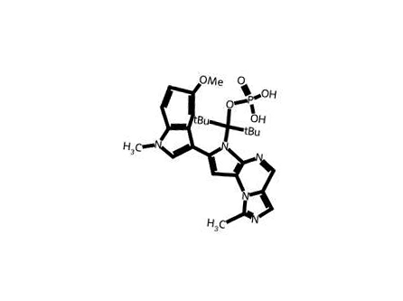 COc1ccc2c(c1)c(-c1cc3c(ncc4cnc(C)n43)n1C(OP(=O)(O)O)(C(C)(C)C)C(C)(C)C)cn2C